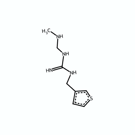 CNCNC(=N)NCc1ccsc1